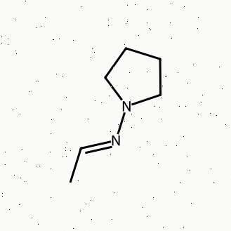 CC=NN1CCCC1